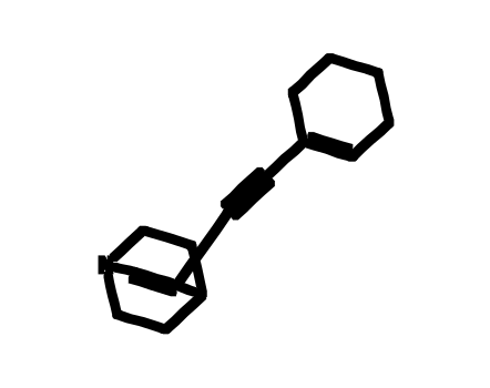 C(#CC1=CN2CCC1CC2)C1=CCCCC1